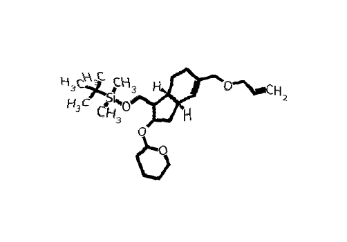 C=CCOCC1=C[C@@H]2CC(OC3CCCCO3)C(CO[Si](C)(C)C(C)(C)C)[C@@H]2CC1